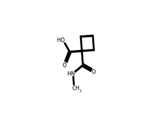 CNC(=O)C1(C(=O)O)CCC1